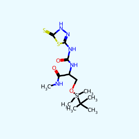 CNC(=O)C(CO[Si](C)(C)C(C)(C)C)NC(=O)Nc1n[nH]c(=S)s1